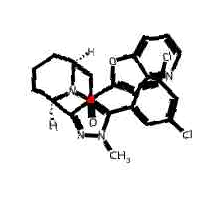 Cn1nc2c(c1-c1cc(Cl)cc(Cl)c1)C[C@@H]1CCC[C@H]2N1C(=O)c1cc2ncccc2o1